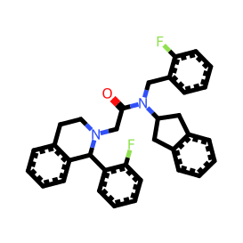 O=C(CN1CCc2ccccc2C1c1ccccc1F)N(Cc1ccccc1F)C1Cc2ccccc2C1